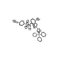 CC(C)(C)c1ccc(S(=O)(=O)Nc2ccc(Br)c3cc(-c4cnn(C(c5ccccc5)(c5ccccc5)c5ccccc5)c4)nn23)cc1